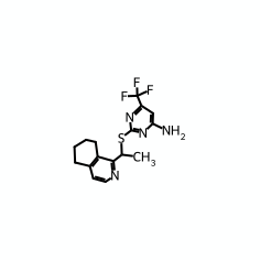 CC(Sc1nc(N)cc(C(F)(F)F)n1)c1nccc2c1CCCC2